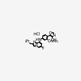 COc1cc(Nc2cc(F)cn3cc(CC(C)C)nc23)ccc1-c1ocnc1C.Cl